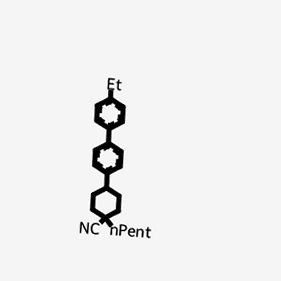 CCCCCC1(C#N)CCC(c2ccc(-c3ccc(CC)cc3)cc2)CC1